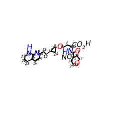 N#CC1(C(=O)NC(CCO[C@H]2C[C@H](CCc3ccc4c(n3)NCCC4)C2)C(=O)O)CCOCC1